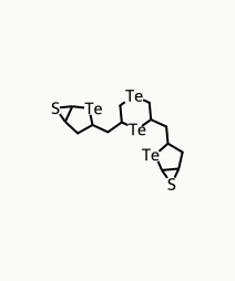 C1[Te]CC(CC2CC3SC3[Te]2)[Te]C1CC1CC2SC2[Te]1